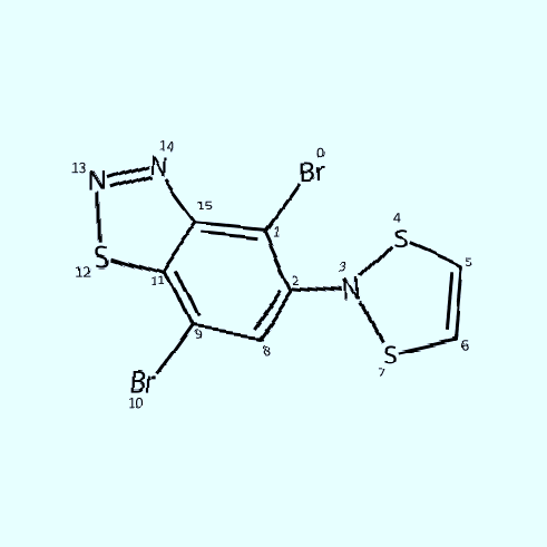 Brc1c(N2SC=CS2)cc(Br)c2snnc12